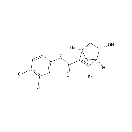 O=C(Nc1ccc(Cl)c(Cl)c1)C1=C(Br)[C@H]2O[C@@H]1C[C@@H]2O